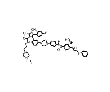 Cc1c(C(=O)NCCCN2CCN(C)CC2)c(-c2cccc(N3CCN(c4ccc(N[S+]([O-])c5ccc(NCCSc6ccccc6)c(NO)c5)cc4)CC3)c2)c(-c2ccc(F)cc2)n1C